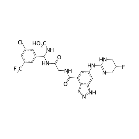 O=C(O)NC(NC(=O)CNC(=O)c1cc(NC2=NCC(F)CN2)cc2[nH]ncc12)c1cc(Cl)cc(C(F)(F)F)c1